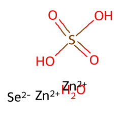 O.O=S(=O)(O)O.[Se-2].[Zn+2].[Zn+2]